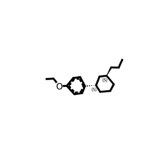 CCC[C@H]1CCC[C@H](c2ccc(OCC)cc2)C1